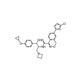 O=C(NC(CN1CCC1)C(O)c1ccc(OC2CC2)cc1)C1=NOCc2cc(-c3ccc(Cl)s3)ccc21